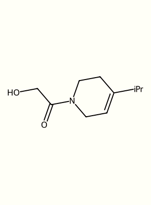 CC(C)C1=CCN(C(=O)CO)CC1